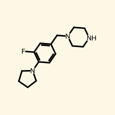 Fc1cc(CN2CCNCC2)ccc1N1CCCC1